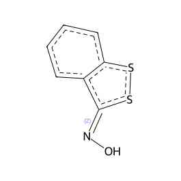 O/N=c1\ssc2ccccc12